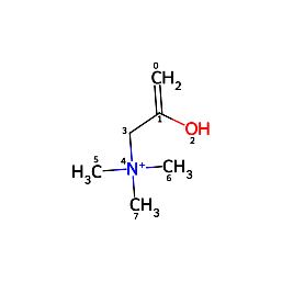 C=C(O)C[N+](C)(C)C